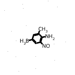 Bc1cc(C)c(N)c(N=O)c1